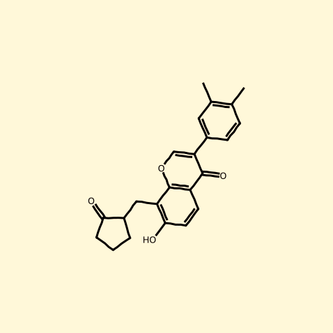 Cc1ccc(-c2coc3c(CC4CCCC4=O)c(O)ccc3c2=O)cc1C